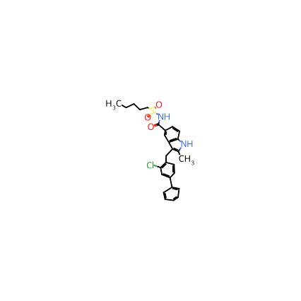 CCCCCS(=O)(=O)NC(=O)c1ccc2[nH]c(C)c(Cc3ccc(-c4ccccc4)cc3Cl)c2c1